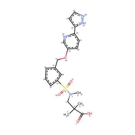 CN(CC(C)(C)C(=O)O)S(=O)(=O)c1cccc(COc2ccc(-c3ccn[nH]3)nc2)c1